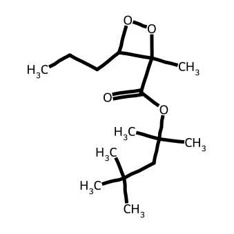 CCCC1OOC1(C)C(=O)OC(C)(C)CC(C)(C)C